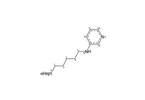 CCCCCCCCCCCCNc1cccnc1